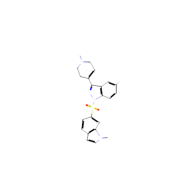 CN1CC=C(c2nn(S(=O)(=O)c3ccc4ccn(C)c4c3)c3ccc(F)cc23)CC1